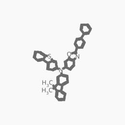 CC1(C)c2ccccc2-c2ccc(N(c3ccc4nc(-c5ccc(-c6ccccc6)cc5)oc4c3)c3ccc4c(c3)sc3ccccc34)cc21